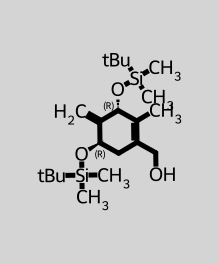 C=C1[C@H](O[Si](C)(C)C(C)(C)C)C(C)=C(CO)C[C@H]1O[Si](C)(C)C(C)(C)C